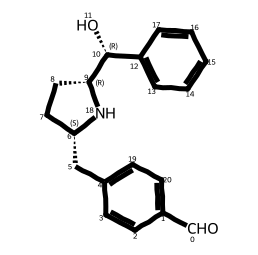 O=Cc1ccc(C[C@@H]2CC[C@H]([C@H](O)c3ccccc3)N2)cc1